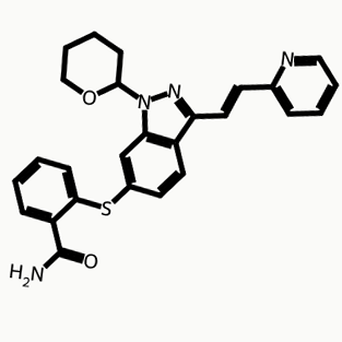 NC(=O)c1ccccc1Sc1ccc2c(/C=C/c3ccccn3)nn(C3CCCCO3)c2c1